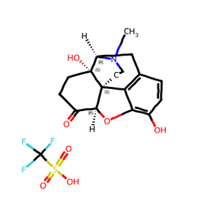 CN1CC[C@]23c4c5ccc(O)c4O[C@H]2C(=O)CC[C@@]3(O)[C@H]1C5.O=S(=O)(O)C(F)(F)F